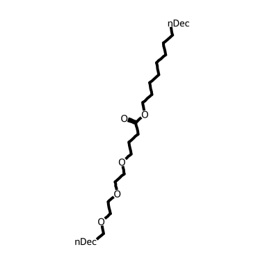 CCCCCCCCCCCCCCCCCCOC(=O)CCCOCCOCCOCCCCCCCCCCC